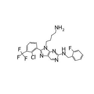 NCCCCn1c(-c2cccc(C(F)(F)F)c2Cl)nc2cnc(NCc3ccccc3F)nc21